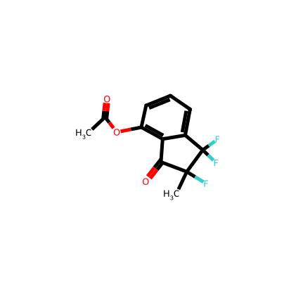 CC(=O)Oc1cccc2c1C(=O)C(C)(F)C2(F)F